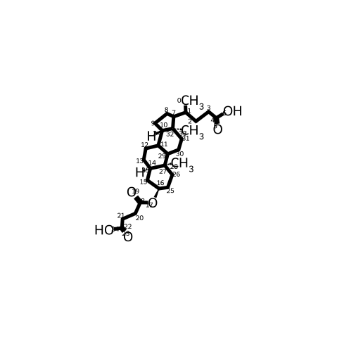 CC(CCC(=O)O)C1CC[C@H]2C3CC[C@@H]4C[C@H](OC(=O)CCC(=O)O)CC[C@]4(C)C3CC[C@]12C